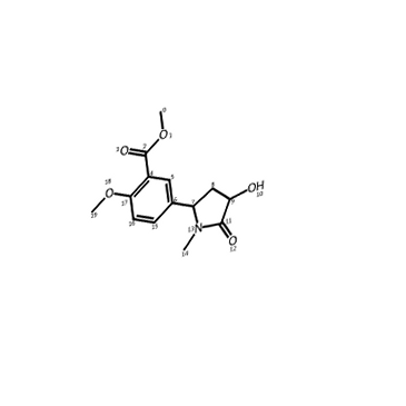 COC(=O)c1cc(C2CC(O)C(=O)N2C)ccc1OC